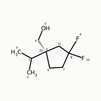 CC(C)[C@]1(CO)CCC(F)(F)C1